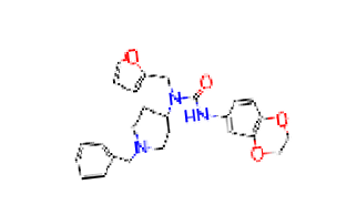 O=C(Nc1ccc2c(c1)OCCO2)N(Cc1ccco1)C1CCN(Cc2ccccc2)CC1